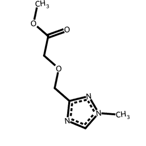 COC(=O)COCc1ncn(C)n1